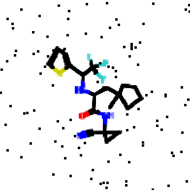 CC1(C[C@H](N[C@@H](c2cccs2)C(F)(F)F)C(=O)NC2(C#N)CC2)CCCC1